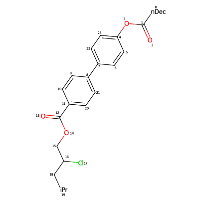 CCCCCCCCCCC(=O)Oc1ccc(-c2ccc(C(=O)OCC(Cl)CC(C)C)cc2)cc1